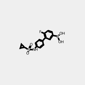 O=S(=O)(Nc1ccc(-c2cc(B(O)O)ccc2F)cc1)C1CC1